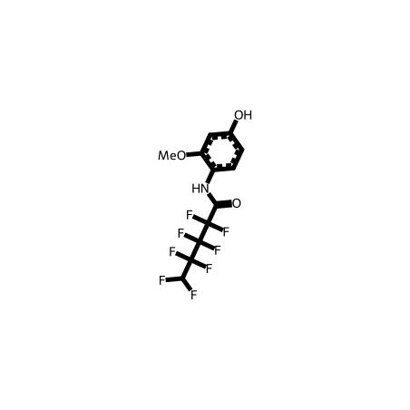 COc1cc(O)ccc1NC(=O)C(F)(F)C(F)(F)C(F)(F)C(F)F